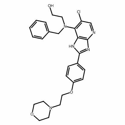 OCCN(Cc1ccccc1)c1c(Cl)cnc2nc(-c3ccc(OCCN4CCOCC4)cc3)[nH]c12